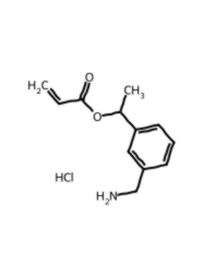 C=CC(=O)OC(C)c1cccc(CN)c1.Cl